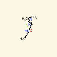 CCCCCCNC(=O)CCc1ccc(/C=C2\N=C(C)C=C2C)n1B(F)F